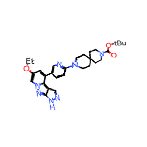 CCOc1cc(-c2ccc(N3CCC4(CCN(C(=O)OC(C)(C)C)CC4)CC3)nc2)c2c3cn[nH]c3nn2c1